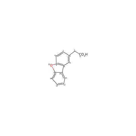 O=C(O)Cc1[c]c2c(cc1)oc1ccccc12